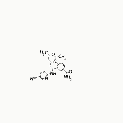 CCCC1CC(Nc2ccc(C#N)cn2)c2cc(C(N)=O)ccc2N1C(C)=O